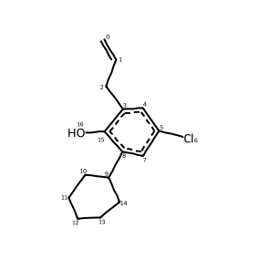 C=CCc1cc(Cl)cc(C2CCCCC2)c1O